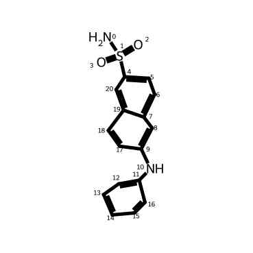 NS(=O)(=O)c1ccc2cc(Nc3ccccc3)ccc2c1